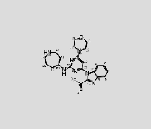 FC(F)c1nc2ccccc2n1-c1cc(N2CCOCC2)nc(NC2CCCNCC2)n1